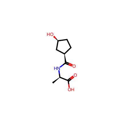 C[C@@H](NC(=O)[C@@H]1CC[C@H](O)C1)C(=O)O